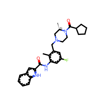 Cc1c(CN2CCN(C(=O)C3CCCC3)[C@@H](C)C2)cc(F)cc1NC(=O)c1cc2ccccc2[nH]1